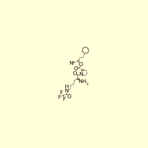 N#C[C@H](CCc1ccccc1)OC(=O)[C@@H]1CCCN1C(=O)[C@@H](N)CCCCNC(=O)C(F)(F)F